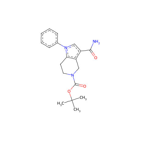 CC(C)(C)OC(=O)N1CCc2c(c(C(N)=O)cn2-c2ccccc2)C1